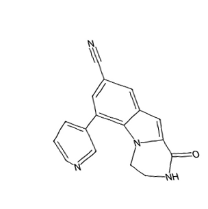 N#Cc1cc(-c2cccnc2)c2c(c1)cc1n2CCNC1=O